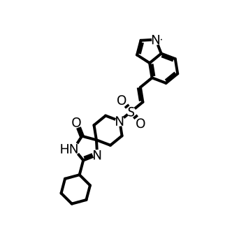 O=C1NC(C2CCCCC2)=NC12CCN(S(=O)(=O)C=Cc1cccc3c1C=C[N]3)CC2